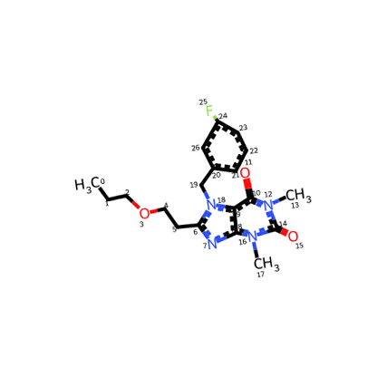 CCCOCCc1nc2c(c(=O)n(C)c(=O)n2C)n1Cc1cccc(F)c1